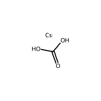 O=C(O)O.[Cs]